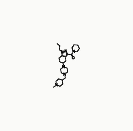 CCCn1nc(C(=O)N2CCCCC2)c2c1CCC(N1CCN(CC3CCN(C)CC3)CC1)C2